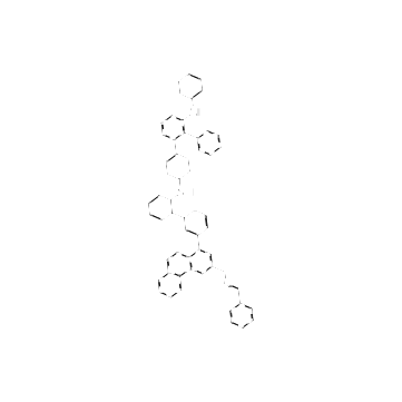 C1=CCCC(Nc2cccc(C3=CCC(NC4C=CC=CC4C4C=C(c5cc(C/N=C/c6ccccc6)cc6c5ccc5ccccc56)C=CC4)CC3)c2-c2ccccc2)=C1